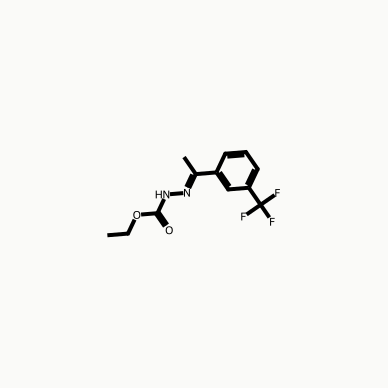 CCOC(=O)NN=C(C)c1cccc(C(F)(F)F)c1